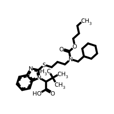 CCCCOC(=O)N(CCCSc1nc2ccccc2n1C(C(=O)O)C(C)(C)C)CC1CCCCC1